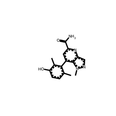 Cc1ccc(O)c(C)c1-c1cc(C(N)=O)nc2cnn(C)c12